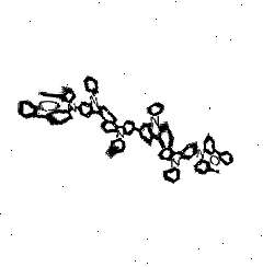 Cc1cccc(N(c2ccc3c4c5ccc6c(c5ccc4n(-c4ccccc4)c3c2)c2ccc(-c3ccc4c5c7ccc8c(c7ccc5n(-c5ccccc5)c4c3)c3ccc(N(c4cccc(C)c4)c4cccc5c4oc4ccccc45)cc3n8-c3ccccc3)cc2n6-c2ccccc2)c2cccc3c2oc2ccccc23)c1